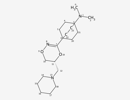 CN(C)C12CCC(C3=NOC[C@@H](CN4CCCCC4)O3)(CC1)CC2